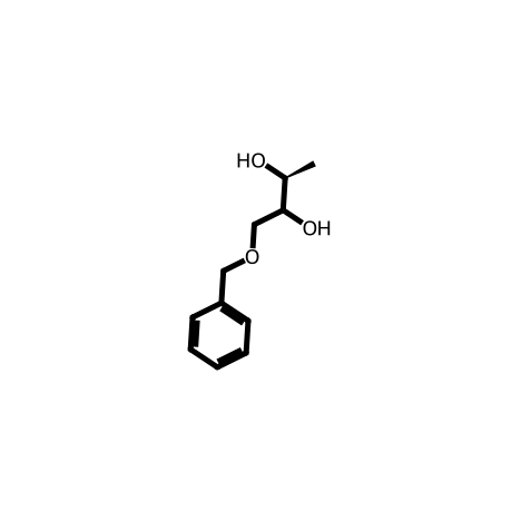 C[C@H](O)C(O)COCc1ccccc1